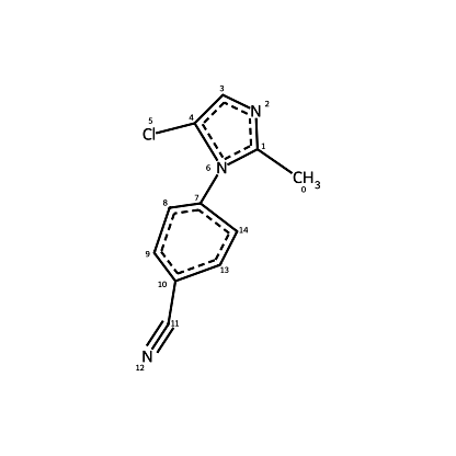 Cc1ncc(Cl)n1-c1ccc(C#N)cc1